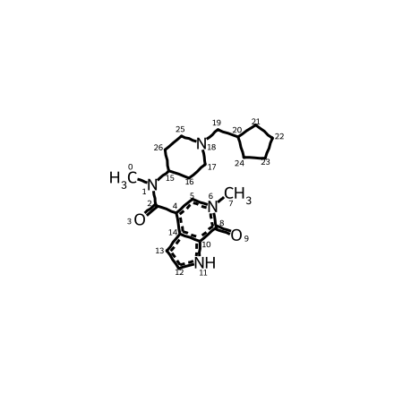 CN(C(=O)c1cn(C)c(=O)c2[nH]ccc12)C1CCN(CC2CCCC2)CC1